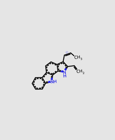 C=Cc1[nH]c2c(ccc3c4ccccc4[nH]c32)c1/C=C\C